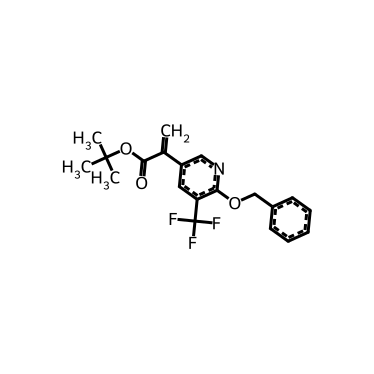 C=C(C(=O)OC(C)(C)C)c1cnc(OCc2ccccc2)c(C(F)(F)F)c1